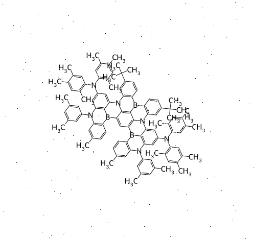 Cc1cc(C)cc(N2c3cc(C)ccc3B3c4cc5c6c7c4N(c4cc(C(C)(C)C)ccc4B7c4ccc(C(C)(C)C)cc4N6c4cc(N(c6cc(C)c(C)cc6C)c6cc(C)c(C)cc6C)cc6c4B5c4ccc(C)cc4N6c4cc(C)cc(C)c4)c4cc(N(c5cc(C)c(C)cc5C)c5cc(C)c(C)cc5C)cc2c43)c1